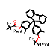 CCCCCC(C)(CC)Oc1ccc(C2(c3ccc(OC(=O)C(C)(CC)CCCCC)c(C)c3)c3ccccc3-c3ccccc32)cc1C